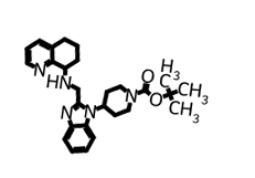 CC(C)(C)OC(=O)N1CCC(n2c(CNC3CCCc4cccnc43)nc3ccccc32)CC1